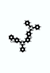 N#Cc1ccccc1-c1ccc(-c2nc(-c3ccccc3)nc(-c3ccc4oc5cc(-c6nc(-c7ccccc7)nc(-c7ccccc7)n6)ccc5c4c3)n2)cc1